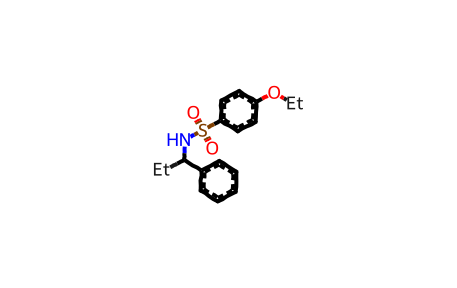 CCOc1ccc(S(=O)(=O)NC(CC)c2ccccc2)cc1